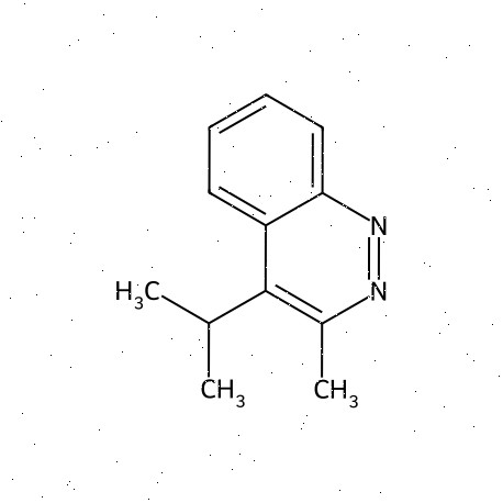 Cc1nnc2ccccc2c1C(C)C